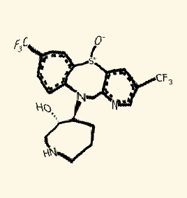 [O-][S+]1c2cc(C(F)(F)F)ccc2N([C@H]2CCCNC[C@@H]2O)c2ncc(C(F)(F)F)cc21